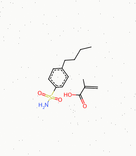 C=C(C)C(=O)O.CCCCc1ccc(S(N)(=O)=O)cc1